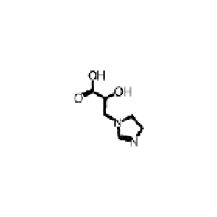 O=C(O)C(O)CN1C=NCC1